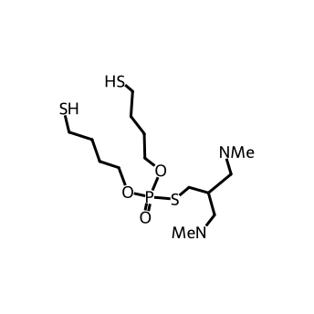 CNCC(CNC)CSP(=O)(OCCCCS)OCCCCS